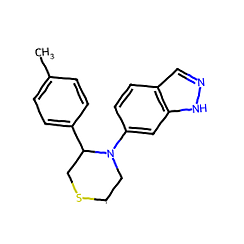 Cc1ccc(C2CS[CH]CN2c2ccc3cn[nH]c3c2)cc1